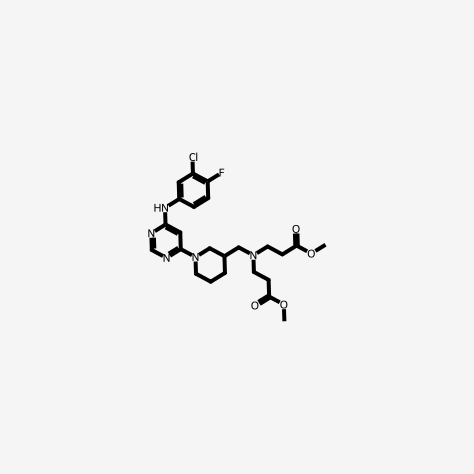 COC(=O)CCN(CCC(=O)OC)CC1CCCN(c2cc(Nc3ccc(F)c(Cl)c3)ncn2)C1